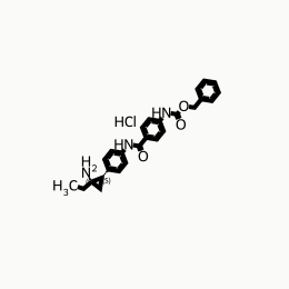 CC[C@]1(N)C[C@H]1c1ccc(NC(=O)c2ccc(NC(=O)OCc3ccccc3)cc2)cc1.Cl